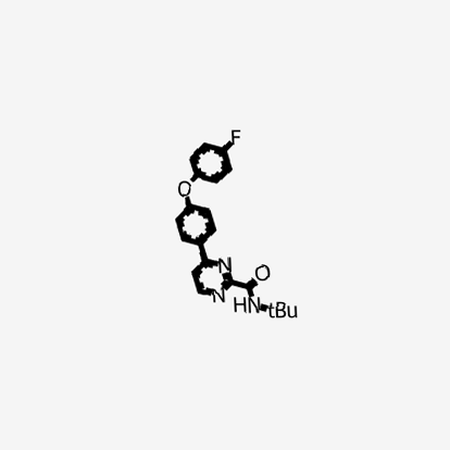 CC(C)(C)NC(=O)c1nccc(-c2ccc(Oc3ccc(F)cc3)cc2)n1